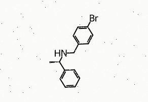 C[C@@H](NCc1ccc(Br)cc1)c1ccccc1